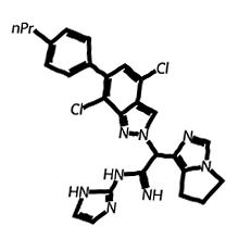 CCCc1ccc(-c2cc(Cl)c3cn(C(C(=N)Nc4ncc[nH]4)c4ncn5c4CCC5)nc3c2Cl)cc1